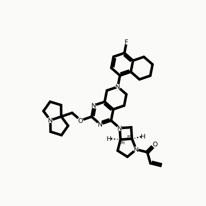 C=CC(=O)N1CC[C@@H]2[C@H]1CN2c1nc(OCC23CCCN2CCC3)nc2c1CCN(c1ccc(F)c3c1CCCC3)C2